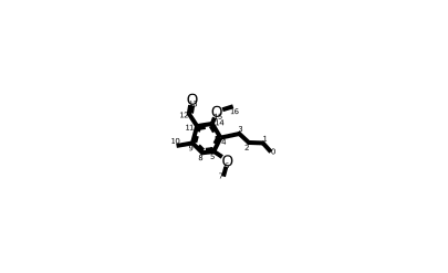 CCCCc1c(OC)cc(C)c(C=O)c1OC